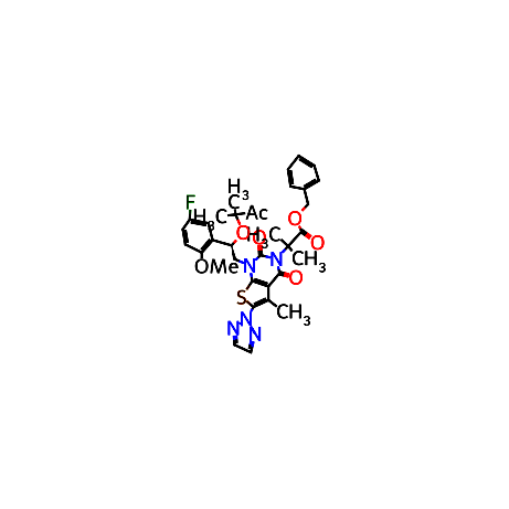 COc1ccc(F)cc1[C@H](Cn1c(=O)n(C(C)(C)C(=O)OCc2ccccc2)c(=O)c2c(C)c(-n3nccn3)sc21)OC(C)(C)C(C)=O